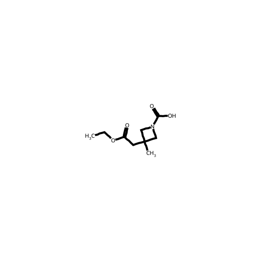 CCOC(=O)CC1(C)CN(C(=O)O)C1